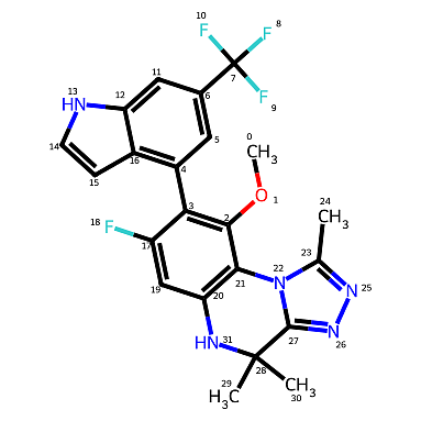 COc1c(-c2cc(C(F)(F)F)cc3[nH]ccc23)c(F)cc2c1-n1c(C)nnc1C(C)(C)N2